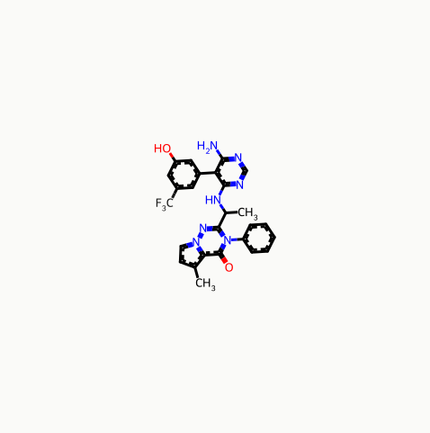 Cc1ccn2nc(C(C)Nc3ncnc(N)c3-c3cc(O)cc(C(F)(F)F)c3)n(-c3ccccc3)c(=O)c12